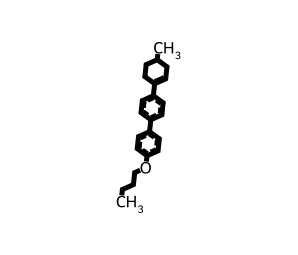 CCCCOc1ccc(-c2ccc(C3=CCC(C)CC3)cc2)cc1